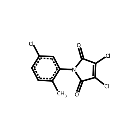 Cc1ccc(Cl)cc1N1C(=O)C(Cl)=C(Cl)C1=O